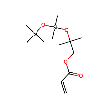 C=CC(=O)OCC(C)(C)O[Si](C)(C)O[Si](C)(C)C